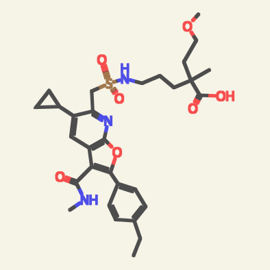 CCc1ccc(-c2oc3nc(CS(=O)(=O)NCCCC(C)(CCOC)C(=O)O)c(C4CC4)cc3c2C(=O)NC)cc1